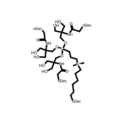 CCCCCCCCCCCCCCCC[N+](C)(C)CCC[Si](OCC(CO)(CO)NC(=O)CCCCCCCCCCC)(OCC(CO)(CO)NC(=O)CCCCCCCCCCC)OCC(CO)(CO)NC(=O)CCCCCCCCCCC